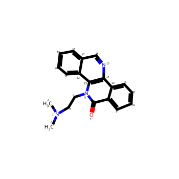 CN(C)CCn1c(=O)c2ccccc2c2ncc3ccccc3c21